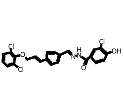 O=C(N/N=C/c1ccc(/C=C/COc2c(Cl)cccc2Cl)cc1)c1ccc(O)c(Cl)c1